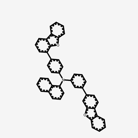 c1cc(-c2ccc3c(c2)oc2ccccc23)cc(N(c2ccc(-c3cccc4c3oc3ccccc34)cc2)c2cccc3ccccc23)c1